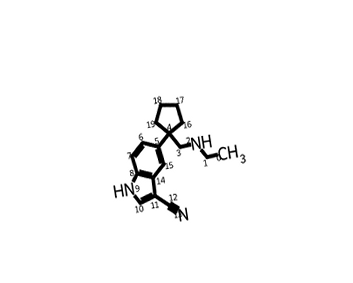 CCNCC1(c2ccc3[nH]cc(C#N)c3c2)CCCC1